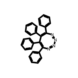 c1ccc(C2=C(c3ccccc3)/C(c3ccccc3)=C(c3ccccc3)\N=N/N=N\2)cc1